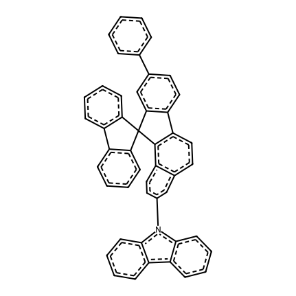 c1ccc(-c2ccc3c(c2)C2(c4ccccc4-c4ccccc42)c2c-3ccc3cc(-n4c5ccccc5c5ccccc54)ccc23)cc1